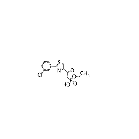 CCOP(=O)(O)CC(=O)c1csc(-c2cccc(Cl)c2)n1